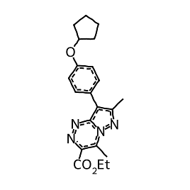 CCOC(=O)c1nnc2c(-c3ccc(OC4CCCC4)cc3)c(C)nn2c1C